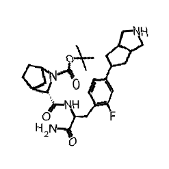 CC(C)(C)OC(=O)N1C2CCC(C2)[C@H]1C(=O)N[C@@H](Cc1ccc(C2CC3CNCC3C2)cc1F)C(N)=O